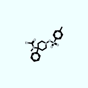 CCC(=O)N(C)C1(c2ccccc2)CCN(OS(=O)(=O)c2ccc(C)cc2)CC1